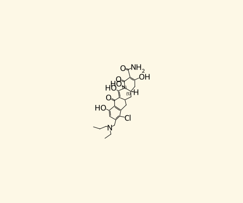 CCCN(CC)Cc1cc(O)c2c(c1Cl)CC1C[C@H]3CC(O)=C(C(N)=O)C(=O)[C@@]3(O)C(O)=C1C2=O